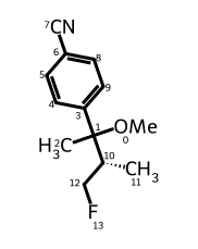 COC(C)(c1ccc(C#N)cc1)[C@H](C)CF